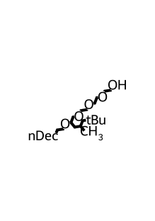 CCCCCCCCCCCCOC(COCCOCCOCCO)CC(C)CC(C)(C)C